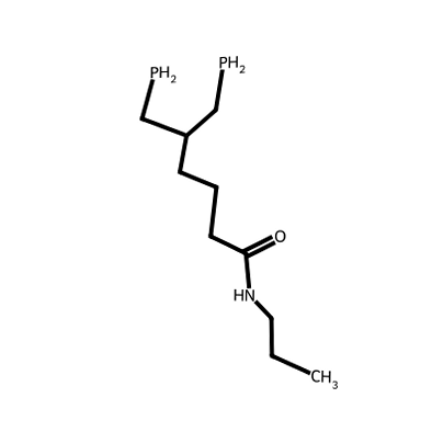 CCCNC(=O)CCCC(CP)CP